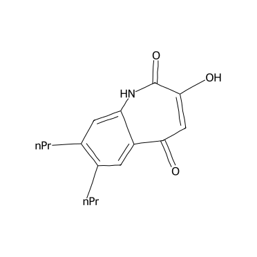 CCCc1cc2[nH]c(=O)c(O)cc(=O)c2cc1CCC